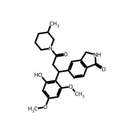 COc1cc(O)c(C(CC(=O)N2CCCC(C)C2)c2ccc3c(c2)CNC3=O)c(OC)c1